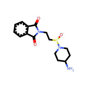 NC1CCN([S+]([O-])CCN2C(=O)c3ccccc3C2=O)CC1